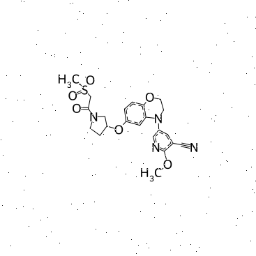 COc1ncc(N2CCOc3ccc(OC4CCN(C(=O)CS(C)(=O)=O)C4)cc32)cc1C#N